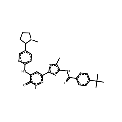 Cc1nc(-c2cc(Nc3ccc(C4CCCN4C)cn3)c(=O)[nH]n2)sc1NC(=O)c1ccc(C(C)(C)C)cc1